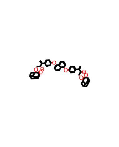 C=C(c1ccc(Oc2cccc3c(Oc4ccc(C(=C)C5COC6(OO5)C5CC7CC(C5)CC6C7)cc4)cccc23)cc1)C1COC2(OO1)C1CC3CC(C1)CC2C3